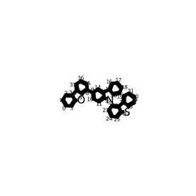 c1ccc2c(c1)oc1c(-c3ccc4c(c3)c3ccccc3n4-c3cccc4sc5ccccc5c34)cccc12